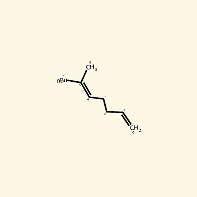 C=CCC/C=C(\C)CCCC